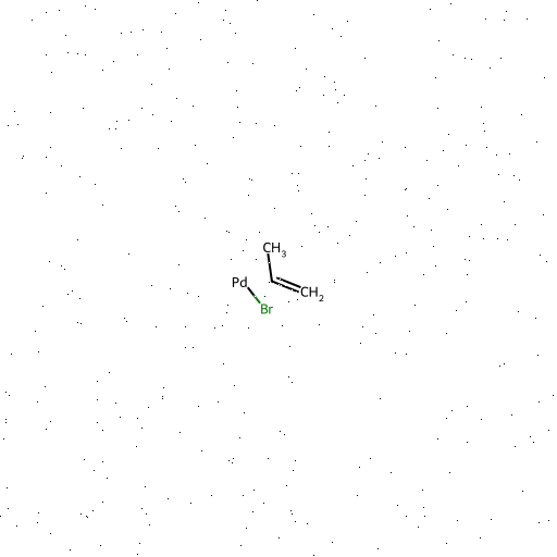 C=CC.[Br][Pd]